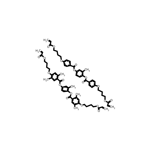 C=CC(=O)OCCCCOc1cc(C)c(C(=O)Oc2ccc(OC(=O)c3cc(C)c(OCCCCOC(=O)C=C)cc3C)c(C)c2)cc1C.C=CC(=O)OCCCCOc1ccc(C(=O)Oc2ccc(OC(=O)c3ccc(OCCCCOC(=O)C=C)cc3)c(C)c2)cc1